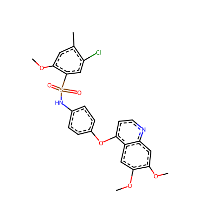 COc1cc2nccc(Oc3ccc(NS(=O)(=O)c4cc(Cl)c(C)cc4OC)cc3)c2cc1OC